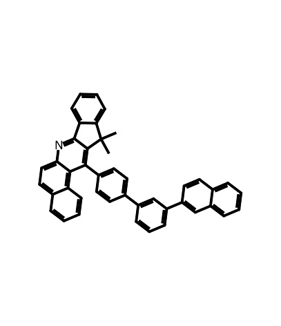 CC1(C)c2ccccc2-c2nc3ccc4ccccc4c3c(-c3ccc(-c4cccc(-c5ccc6ccccc6c5)c4)cc3)c21